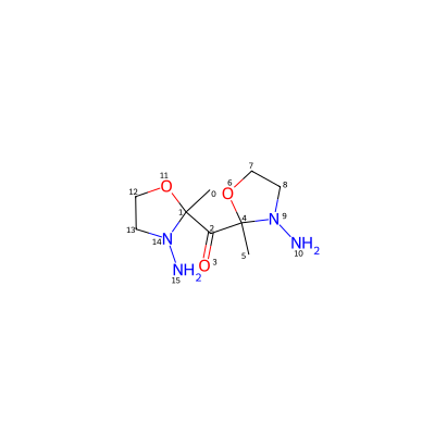 CC1(C(=O)C2(C)OCCN2N)OCCN1N